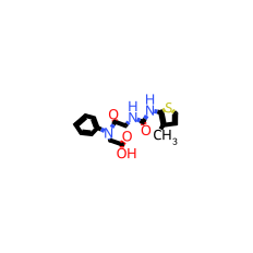 Cc1ccsc1NC(=O)NCC(=O)N(CC(=O)O)c1ccccc1